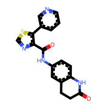 O=C1CCc2cc(NC(=O)c3ncsc3-c3cccnc3)ccc2N1